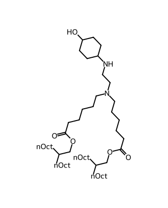 CCCCCCCCC(CCCCCCCC)COC(=O)CCCCCN(CCCCCC(=O)OCC(CCCCCCCC)CCCCCCCC)CCNC1CCC(O)CC1